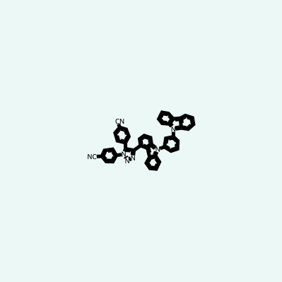 N#Cc1ccc(-c2c(-c3cccc4c3c3ccccc3n4-c3cccc(-n4c5ccccc5c5ccccc54)c3)nnn2-c2ccc(C#N)cc2)cc1